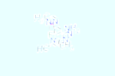 C#Cc1cc(C)c(-c2ncnc(N)c2-c2ccc(Oc3nccc(C)n3)c(F)c2)cn1